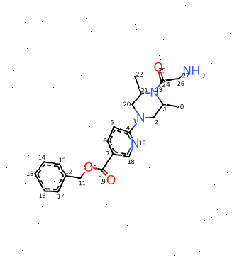 CC1CN(c2ccc(C(=O)OCc3ccccc3)cn2)CC(C)N1C(=O)CN